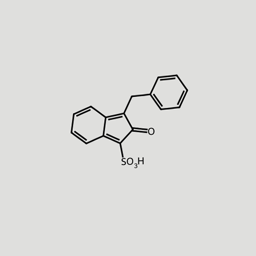 O=C1C(Cc2ccccc2)=c2ccccc2=C1S(=O)(=O)O